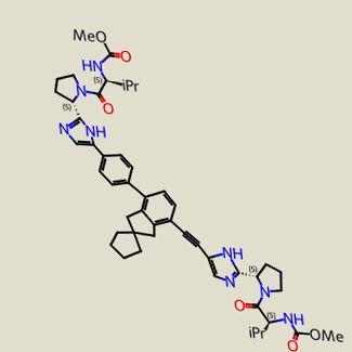 COC(=O)N[C@H](C(=O)N1CCC[C@H]1c1ncc(C#Cc2ccc(-c3ccc(-c4cnc([C@@H]5CCCN5C(=O)[C@@H](NC(=O)OC)C(C)C)[nH]4)cc3)c3c2CC2(CCCC2)C3)[nH]1)C(C)C